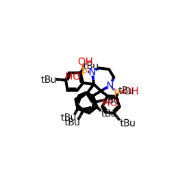 CC(C)(C)c1ccc(C2(c3ccc(C(C)(C)C)cc3C(C)(C)C)N(P(O)O)CCCN(P(O)O)C2(c2ccc(C(C)(C)C)cc2C(C)(C)C)c2ccc(C(C)(C)C)cc2C(C)(C)C)c(C(C)(C)C)c1